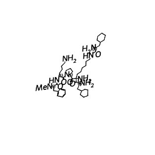 CN[C@@H](Cc1ccccc1)C(=O)N[C@@H](CCCCN)C(=O)N1CCC[C@H]1C(=O)C(N)(CCCCCCNC(=O)[C@@H](N)CC1CCCCC1)C(=O)[C@H](N)CC1CCCCC1